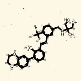 Cc1c(/C=C/c2cc(CNC(C)(CO)CO)ccc2C(F)(F)F)cccc1-c1ccc2c(c1)OCCO2